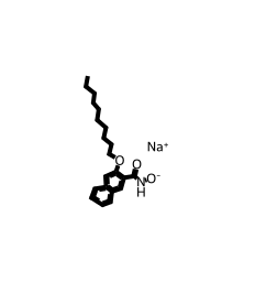 CCCCCCCCCCOc1cc2ccccc2cc1C(=O)N[O-].[Na+]